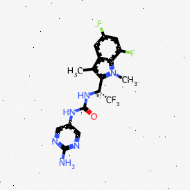 Cc1c([C@@H](NC(=O)Nc2cnc(N)nc2)C(F)(F)F)n(C)c2c(F)cc(F)cc12